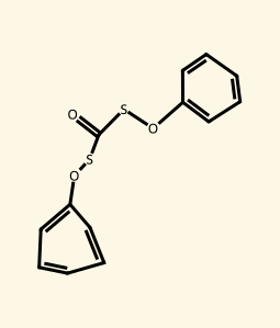 O=C(SOc1ccccc1)SOc1ccccc1